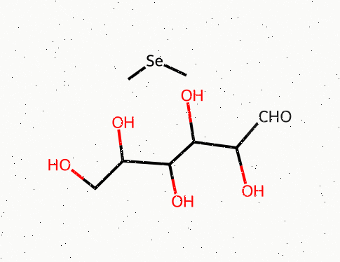 C[Se]C.O=CC(O)C(O)C(O)C(O)CO